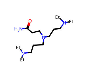 CCN(CC)CCCN(CCCN(CC)CC)CCC(N)=O